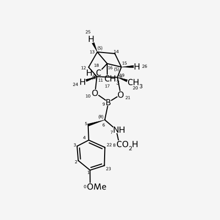 COc1ccc(C[C@H](NC(=O)O)B2O[C@@H]3C[C@@H]4C[C@@H](C4(C)C)[C@]3(C)O2)cc1